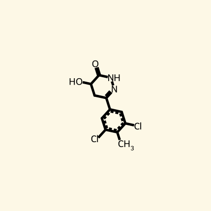 Cc1c(Cl)cc(C2=NNC(=O)C(O)C2)cc1Cl